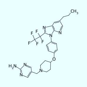 CCCc1cnc2c(c1)nc(C(F)(F)C(F)(F)F)n2-c1ccc(OC2CCN(Cc3cnc(N)nc3)CC2)cc1